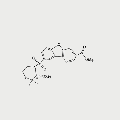 COC(=O)c1ccc2c(c1)oc1ccc(S(=O)(=O)N3CCSC(C)(C)[C@@H]3C(=O)O)cc12